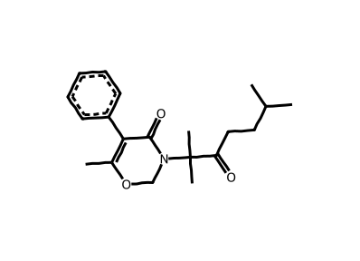 CC1=C(c2ccccc2)C(=O)N(C(C)(C)C(=O)CCC(C)C)CO1